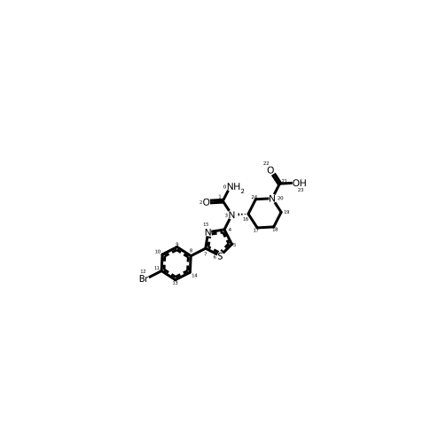 NC(=O)N(c1csc(-c2ccc(Br)cc2)n1)[C@H]1CCCN(C(=O)O)C1